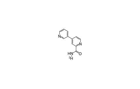 [2H]NC(=O)c1cc(-c2cccnc2)ccn1